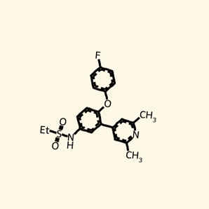 CCS(=O)(=O)Nc1ccc(Oc2ccc(F)cc2)c(-c2cc(C)nc(C)c2)c1